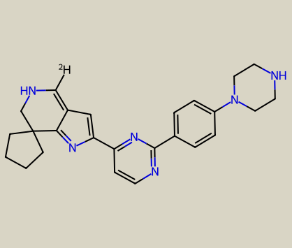 [2H]C1=C2C=C(c3ccnc(-c4ccc(N5CCNCC5)cc4)n3)N=C2C2(CCCC2)CN1